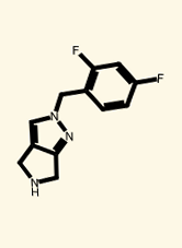 Fc1ccc(Cn2cc3c(n2)CNC3)c(F)c1